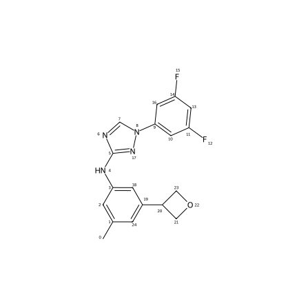 Cc1cc(Nc2ncn(-c3cc(F)cc(F)c3)n2)cc(C2COC2)c1